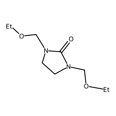 CCOCN1CCN(COCC)C1=O